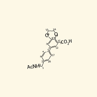 CC(=O)NCc1ccc(-c2cc3c(c(C(=O)O)c2)OCCO3)cc1